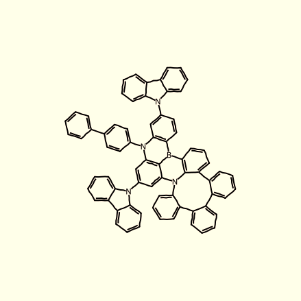 c1ccc(-c2ccc(N3c4cc(-n5c6ccccc6c6ccccc65)ccc4B4c5c3cc(-n3c6ccccc6c6ccccc63)cc5-n3c5ccccc5c5ccccc5c5ccccc5c5cccc4c53)cc2)cc1